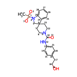 CS(=O)(=O)N1CC2(CCN(C(=O)Nc3ccc(CCO)cc3)CC2)c2ccccc21